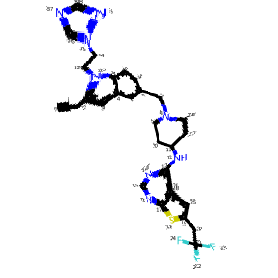 C#Cc1cc2cc(CN3CCC(Nc4ncnc5sc(CC(F)(F)F)cc45)CC3)ccc2n1CCn1cncn1